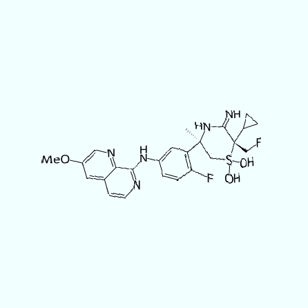 COc1cnc2c(Nc3ccc(F)c([C@]4(C)CS(O)(O)[C@@](CF)(C5CC5)C(=N)N4)c3)nccc2c1